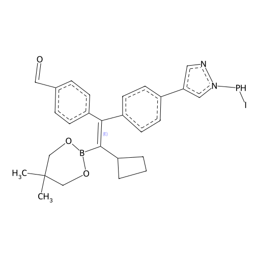 CC1(C)COB(/C(=C(\c2ccc(C=O)cc2)c2ccc(-c3cnn(PI)c3)cc2)C2CCC2)OC1